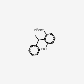 CCCCCc1cccc(O)c1C(C)c1ccccc1